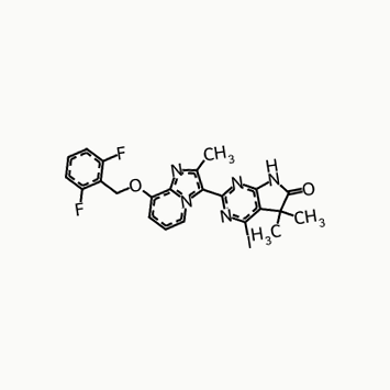 Cc1nc2c(OCc3c(F)cccc3F)cccn2c1-c1nc(I)c2c(n1)NC(=O)C2(C)C